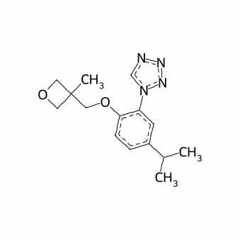 CC(C)c1ccc(OCC2(C)COC2)c(-n2cnnn2)c1